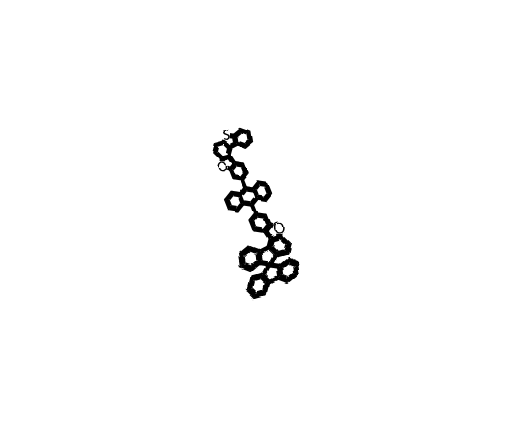 c1ccc2c(c1)-c1ccccc1C21c2ccccc2-c2c1ccc1oc3cc(-c4c5ccccc5c(-c5ccc6c(c5)oc5ccc7sc8ccccc8c7c56)c5ccccc45)ccc3c21